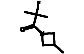 CC1CN(C(=O)C(C)(C)F)C1